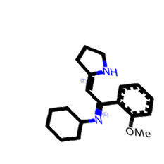 COc1ccccc1C(/C=C1/CCCN1)=N/C1CCCCC1